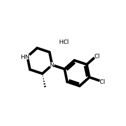 C[C@@H]1CNCCN1c1ccc(Cl)c(Cl)c1.Cl